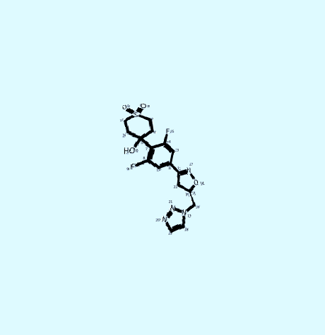 O=S1(=O)CCC(O)(c2c(F)cc(C3=NO[C@@H](Cn4ccnn4)C3)cc2F)CC1